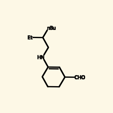 CCCCC(CC)CNC1=CC(C=O)CCC1